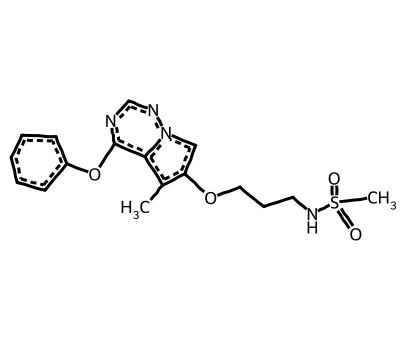 Cc1c(OCCCNS(C)(=O)=O)cn2ncnc(Oc3ccccc3)c12